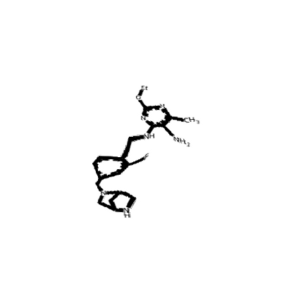 CCOc1nc(C)c(N)c(NCc2ccc(CN3CC4CC3CN4)cc2F)n1